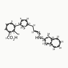 Cc1c(C(=O)O)cccc1-c1ccc(CC=NNc2nc3ccccc3s2)s1